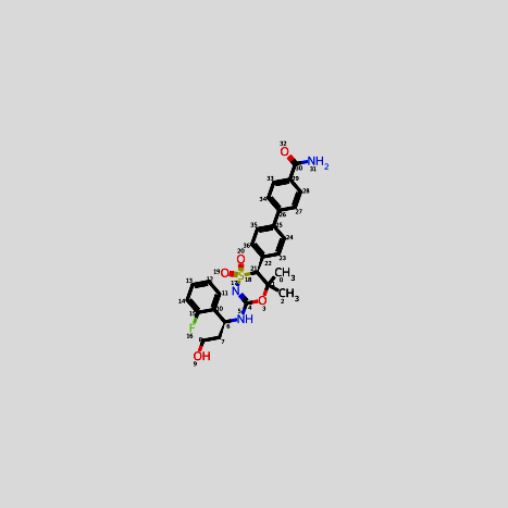 CC1(C)OC(N[C@@H](CCO)c2ccccc2F)=NS(=O)(=O)[C@H]1c1ccc(-c2ccc(C(N)=O)cc2)cc1